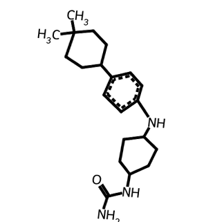 CC1(C)CCC(c2ccc(NC3CCC(NC(N)=O)CC3)cc2)CC1